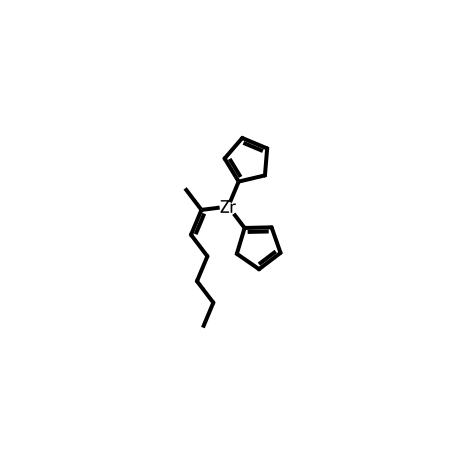 CCCC/C=[C](/C)[Zr]([C]1=CC=CC1)[C]1=CC=CC1